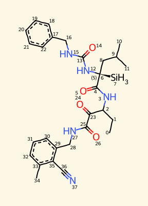 CCC(NC(=O)[C@@]([SiH3])(CC(C)C)NC(=O)NCc1ccccc1)C(=O)C(=O)NCc1cccc(C)c1C#N